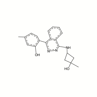 Cc1ccc(-c2nnc(NC3CC(C)(O)C3)c3ccccc23)c(O)c1